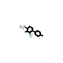 Cc1ccc(-c2ccc([N+](=O)[O-])c(C)c2Cl)cc1